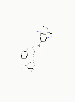 CCn1cc2c3c(cc(C(=O)N[C@@H](Cc4ccccc4)[C@H](O)CNC4CC(C)(C)CC(C)(C)C4)cc31)N(C)SCC2